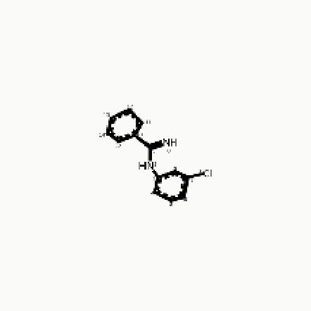 N=C(Nc1cccc(Cl)c1)c1ccccc1